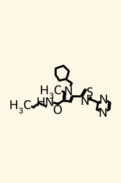 CCCCNC(=O)c1cc(-c2csc(-c3cnccn3)n2)n(CC2CCCCC2)c1C